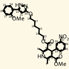 COC(=O)C1=C(C)NC(C)=C(C(=O)OCCCCCCOc2cc(-c3ccccc3OC)[nH]n2)C1c1cccc([N+](=O)[O-])c1